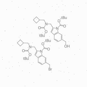 CC(C)(C)OC(=O)N(Cc1cc2ccc(CBr)cc2n1C(=O)OC(C)(C)C)CC1CCC1.CC(C)(C)OC(=O)N(Cc1cc2ccc(CO)cc2n1C(=O)OC(C)(C)C)CC1CCC1